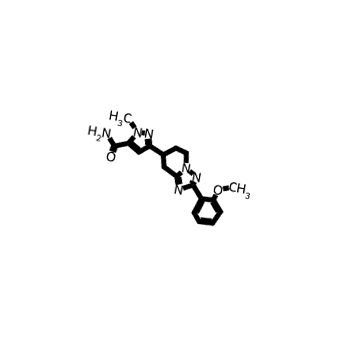 COc1ccccc1-c1nc2n(n1)CCC(c1cc(C(N)=O)n(C)n1)C2